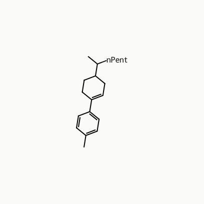 CCCCCC(C)C1CC=C(c2ccc(C)cc2)CC1